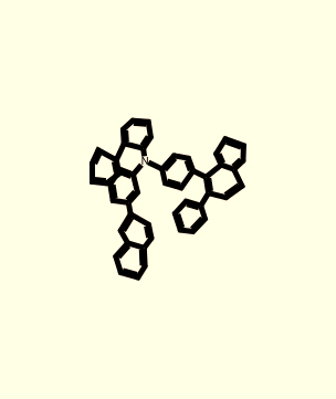 c1ccc(-c2ccccc2N(c2ccc(-c3c(-c4ccccc4)ccc4ccccc34)cc2)c2cccc(-c3ccc4ccccc4c3)c2)cc1